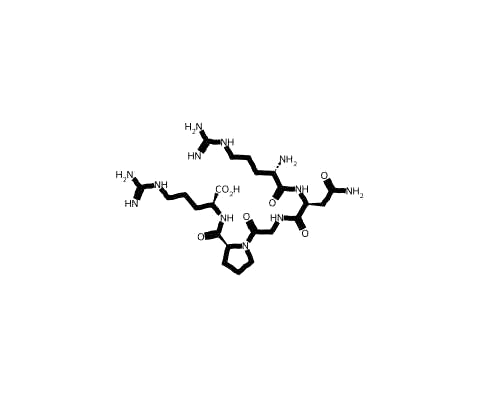 N=C(N)NCCC[C@H](NC(=O)[C@@H]1CCCN1C(=O)CNC(=O)[C@H](CC(N)=O)NC(=O)[C@@H](N)CCCNC(=N)N)C(=O)O